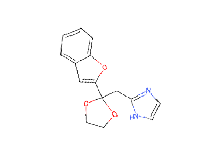 c1ccc2oc(C3(Cc4ncc[nH]4)OCCO3)cc2c1